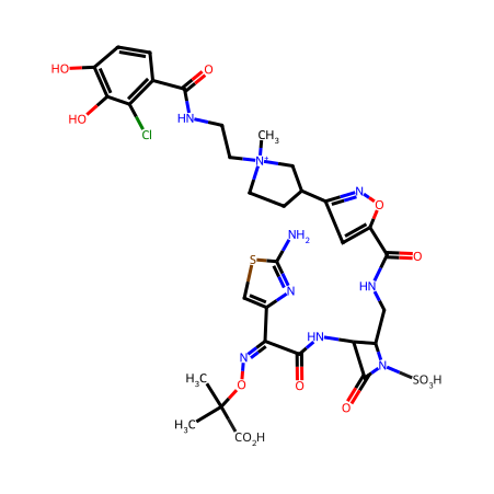 CC(C)(O/N=C(\C(=O)NC1C(=O)N(S(=O)(=O)O)C1CNC(=O)c1cc(C2CC[N+](C)(CCNC(=O)c3ccc(O)c(O)c3Cl)C2)no1)c1csc(N)n1)C(=O)O